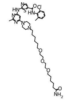 Cc1nc(Nc2ncc(C(=O)Nc3c(C)cccc3Cl)s2)cc(N2CCN(CCCCCCOCCOCCOCCCCCC(N)=O)CC2)n1